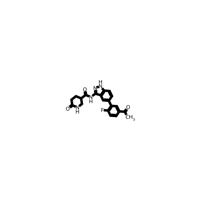 CC(=O)c1ccc(F)c(-c2ccc3[nH]nc(NC(=O)C4CCC(=O)NC4)c3c2)c1